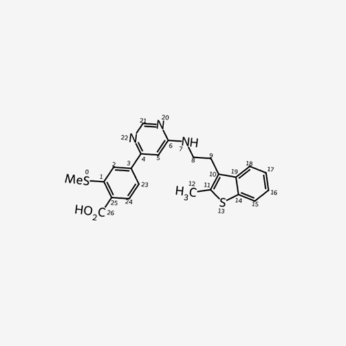 CSc1cc(-c2cc(NCCc3c(C)sc4ccccc34)ncn2)ccc1C(=O)O